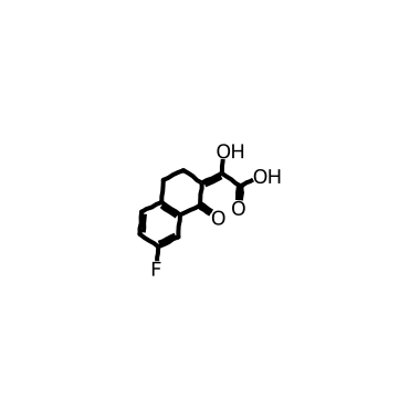 O=C(O)C(O)=C1CCc2ccc(F)cc2C1=O